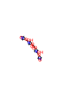 CON1C(C)(C)CC(OCC(O)CN2C(C)(C)CC(OC(=O)CC(=O)OC3CC(C)(C)N(CC(O)COC4CC(C)(C)N(OC)C(C)(C)C4)C(C)(C)C3)CC2(C)C)CC1(C)C